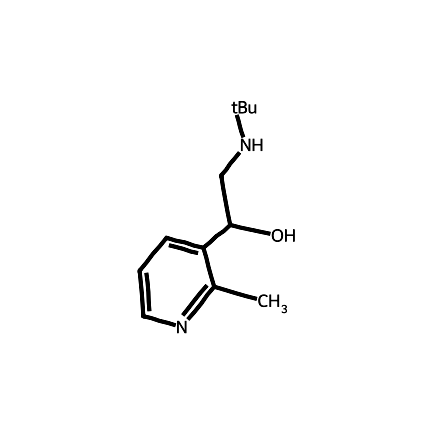 Cc1ncccc1C(O)CNC(C)(C)C